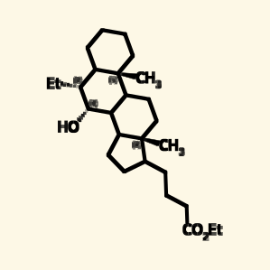 CCOC(=O)CCCC1CCC2C3C(CC[C@]12C)[C@@]1(C)CCCCC1[C@@H](CC)[C@H]3O